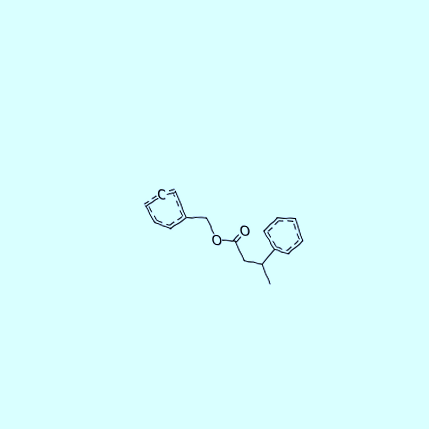 CC(CC(=O)OCc1ccccc1)c1ccccc1